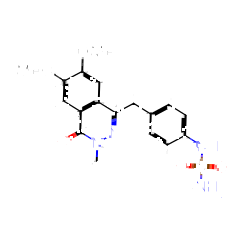 COc1cc2c(Cc3ccc(NS(N)(=O)=O)cc3)nn(C)c(=O)c2cc1OC